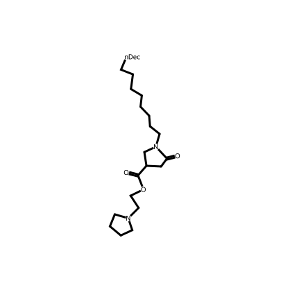 CCCCCCCCCCCCCCCCCCN1CC(C(=O)OCCN2CCCC2)CC1=O